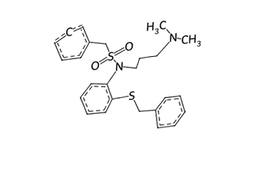 CN(C)CCCN(c1ccccc1SCc1ccccc1)S(=O)(=O)Cc1ccccc1